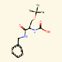 [2H]C([2H])([2H])OCC(NC(=O)O)C(=O)NCc1ccccc1